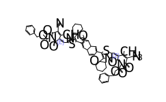 CC1=C(C#N)C(=O)N(C(=O)OCc2ccccc2)C(=O)/C1=C\c1nc2c(s1)C1=CC3C=C4OC5(CCCCC5)c5nc(/C=C6/C(=O)N(C(=O)OCc7ccccc7)C(=O)C(C#N)=C6C)sc5C4=CC3C=C1OC21CCCCC1